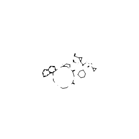 C=CC1C[C@]1(NC(=O)[C@@H]1C[C@@H]2CN1C(=O)[C@H](C1CCCCC1)NC(=O)OCCCCCCc1c(ccc3ccccc13)O2)C(=O)NS(=O)(=O)C1CC1